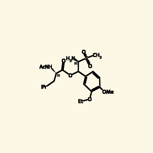 CCOc1cc(C(OC(=O)[C@H](CC(C)C)NC(C)=O)[C@@H](N)S(C)(=O)=O)ccc1OC